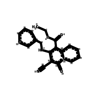 CCOC(=O)c1c(NCc2cccnc2)c(C#N)c(=O)n2ccccc12